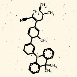 C=CN(C)C/C(C1=CC(C)C(C2=CCCC(N3c4ccccc4C(C)(C)c4ccccc43)=C2)C=C1)=C(\C)C#N